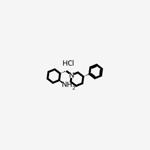 Cl.N[C@H]1CCCC[C@@H]1CN1CCC[C@@H](c2ccccc2)C1